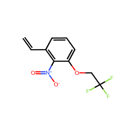 C=Cc1cccc(OCC(F)(F)F)c1[N+](=O)[O-]